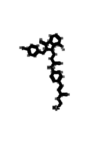 CCOC(=O)C=Cc1ccc(NC(=O)CCC2c3c(F)cccc3C(=O)N2Cc2ccc(F)cc2)nc1